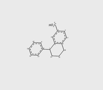 O=C(O)c1ccc2c(c1)C(c1ccccc1)CCC2